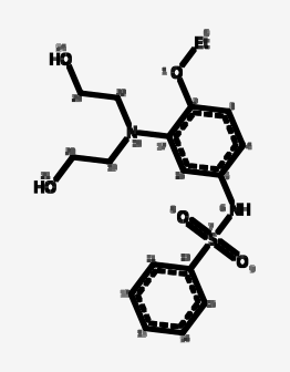 CCOc1ccc(NS(=O)(=O)c2ccccc2)cc1N(CCO)CCO